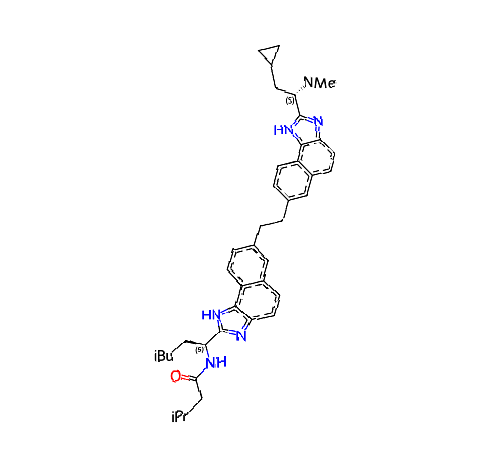 CCC(C)C[C@H](NC(=O)CC(C)C)c1nc2ccc3cc(CCc4ccc5c(ccc6nc([C@H](CC7CC7)NC)[nH]c65)c4)ccc3c2[nH]1